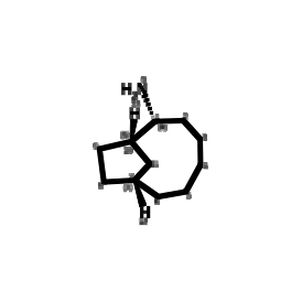 N[C@@H]1CCCCC[C@@H]2CC[C@H]1C2